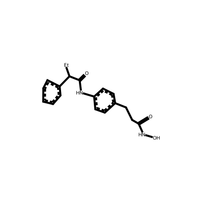 CCC(C(=O)Nc1ccc(CCC(=O)NO)cc1)c1ccccc1